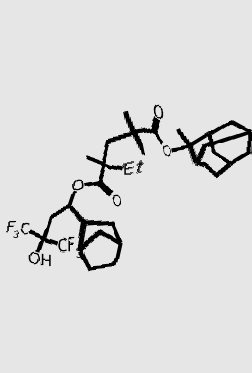 CCC(C)(CC(C)(C)C(=O)OC1(C)C2CC3CC(C2)CC1C3)C(=O)OC(CC(O)(C(F)(F)F)C(F)(F)F)C1CC2CCC1C2